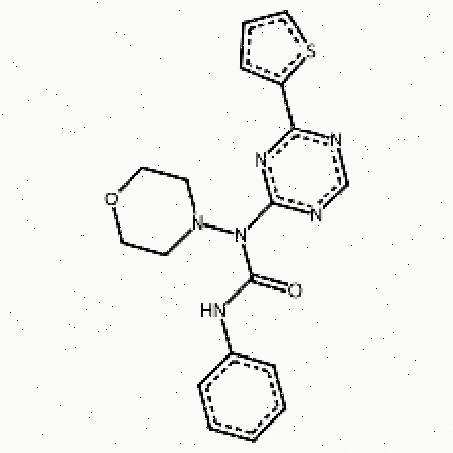 O=C(Nc1ccccc1)N(c1ncnc(-c2cccs2)n1)N1CCOCC1